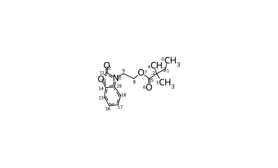 CCC(C)(C)C(=O)OCCn1c(=O)oc2ccccc21